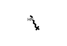 CCNCCCCC(C)(C)C